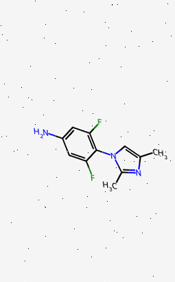 Cc1cn(-c2c(F)cc(N)cc2F)c(C)n1